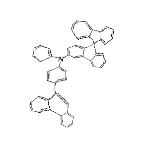 c1ccc(N(c2ccc(-c3cc4ccccc4c4ccccc34)cc2)c2ccc3c(c2)-c2ccccc2C32c3ccccc3-c3ccccc32)cc1